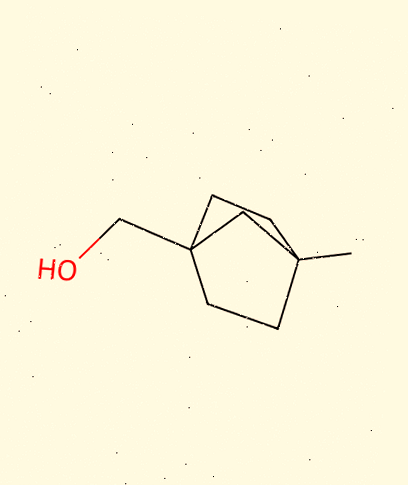 CC12CCC(CO)(CC1)C2